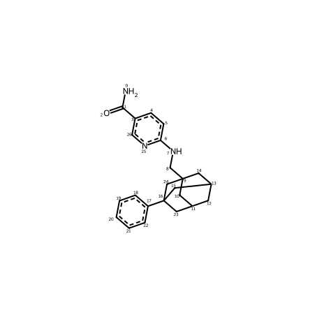 NC(=O)c1ccc(NCC23CC4CC(C2)CC(c2ccccc2)(C4)C3)nc1